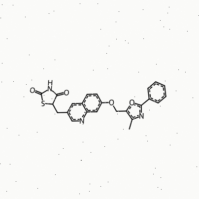 Cc1nc(-c2ccccc2)oc1COc1ccc2cc(CC3SC(=O)NC3=O)cnc2c1